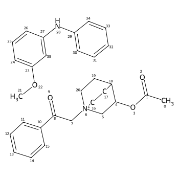 CC(=O)OC1C[N+]2(CC(=O)c3ccccc3)CCC1CC2.COc1cccc(Nc2ccccc2)c1